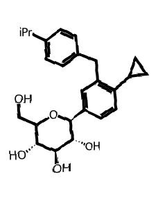 CC(C)c1ccc(Cc2cc([C@@H]3OC(CO)[C@@H](O)[C@H](O)[C@H]3O)ccc2C2CC2)cc1